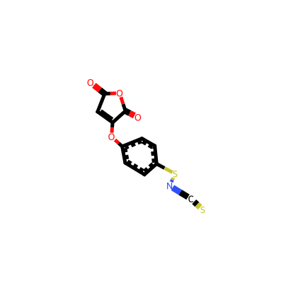 O=C1C=C(Oc2ccc(SN=C=S)cc2)C(=O)O1